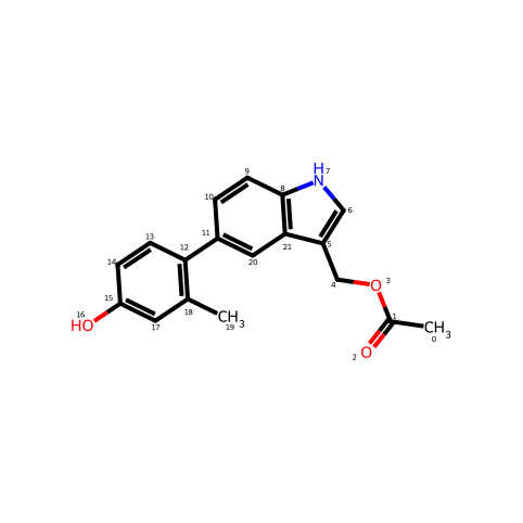 CC(=O)OCc1c[nH]c2ccc(-c3ccc(O)cc3C)cc12